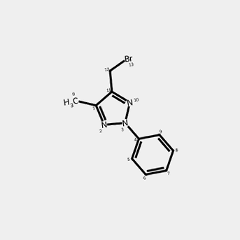 Cc1nn(-c2ccccc2)nc1CBr